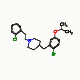 CC(C)Oc1ccc(Br)c(CC2CCN(CCc3ccccc3Cl)CC2)c1